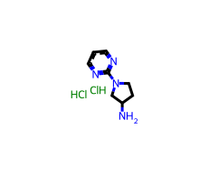 Cl.Cl.NC1CCN(c2ncccn2)C1